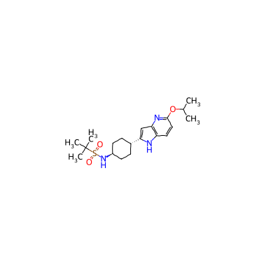 CC(C)Oc1ccc2[nH]c([C@H]3CC[C@H](NS(=O)(=O)C(C)(C)C)CC3)cc2n1